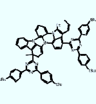 C/C=C\c1c(CC)n2c3c(ccc(-c4nc(-c5ccc(C(C)(C)C)cc5)nc(-c5ccc(C(C)(C)C)cc5)n4)c13)B1C3=CCC(C)(c4nc(-c5ccc(C(C)(C)C)cc5)nc(-c5ccc(C(C)(C)C)cc5)n4)c4c3n(c3ccccc43)-c3cccc-2c31